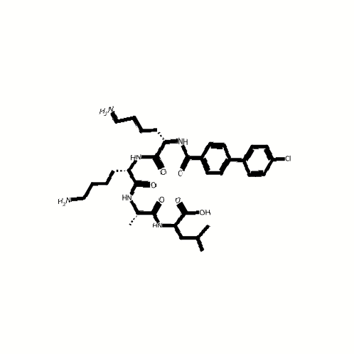 CC(C)CC(NC(=O)[C@H](C)NC(=O)[C@H](CCCCN)NC(=O)[C@H](CCCCN)NC(=O)c1ccc(-c2ccc(Cl)cc2)cc1)C(=O)O